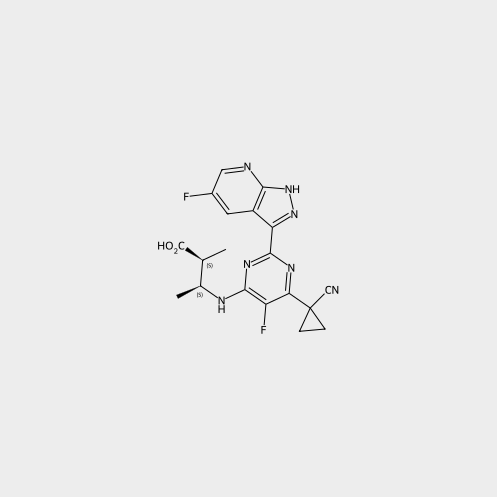 C[C@H](Nc1nc(-c2n[nH]c3ncc(F)cc23)nc(C2(C#N)CC2)c1F)[C@H](C)C(=O)O